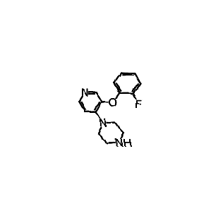 Fc1ccccc1Oc1cnccc1N1CCNCC1